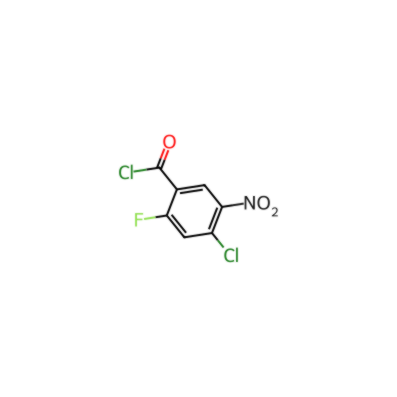 O=C(Cl)c1cc([N+](=O)[O-])c(Cl)cc1F